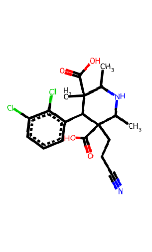 CC1NC(C)C(CCC#N)(C(=O)O)C(c2cccc(Cl)c2Cl)C1(C)C(=O)O